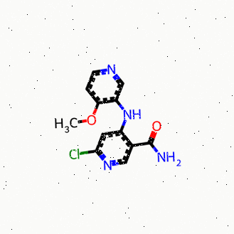 COc1ccncc1Nc1cc(Cl)ncc1C(N)=O